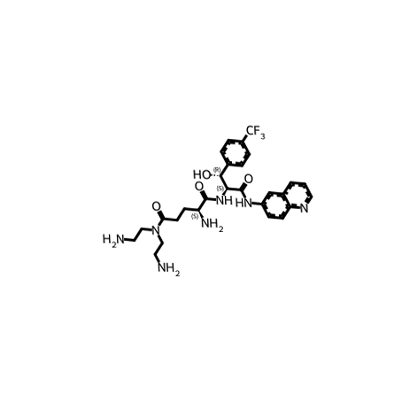 NCCN(CCN)C(=O)CC[C@H](N)C(=O)N[C@H](C(=O)Nc1ccc2ncccc2c1)[C@H](O)c1ccc(C(F)(F)F)cc1